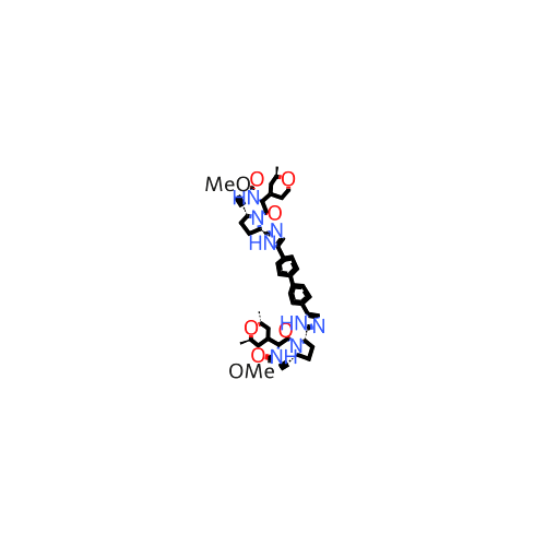 C#C[C@H]1CC[C@@H](c2ncc(-c3ccc(-c4ccc(-c5cnc([C@@H]6CC[C@H](C#C)N6C(=O)[C@@H](NC(=O)OC)C6C[C@@H](C)O[C@H](C)C6)[nH]5)cc4)cc3)[nH]2)N1C(=O)[C@@H](NC(=O)OC)C1CCO[C@H](C)C1